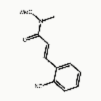 CON(C)C(=O)C=Cc1ccccc1C#N